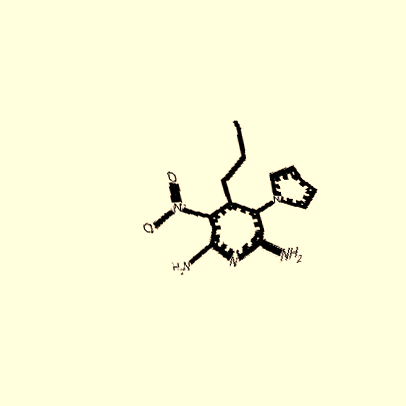 CCCc1c(-n2cccc2)c(N)nc(N)c1[N+](=O)[O-]